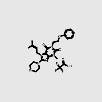 CC(C)=CCn1c(N2CCNCC2)nc2c1c(=O)n(CCOc1ccccc1)c(=O)n2C.O=C(O)C(F)(F)F